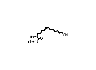 CCCCCC(=O)N(CCCC/C=C\CCCCCCC#N)C(C)C